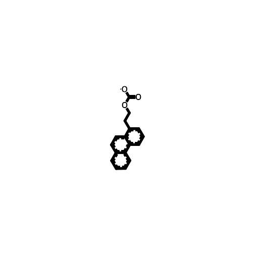 [O]C(=O)OCCc1cccc2c1ccc1ccccc12